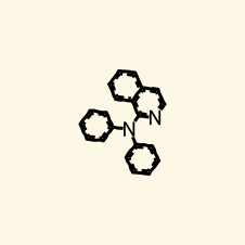 c1ccc(N(c2ccccc2)c2nccc3ccccc23)cc1